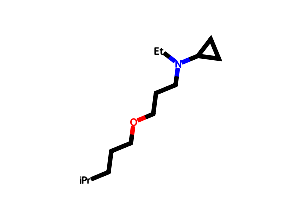 CCN(CCCOCCCC(C)C)C1CC1